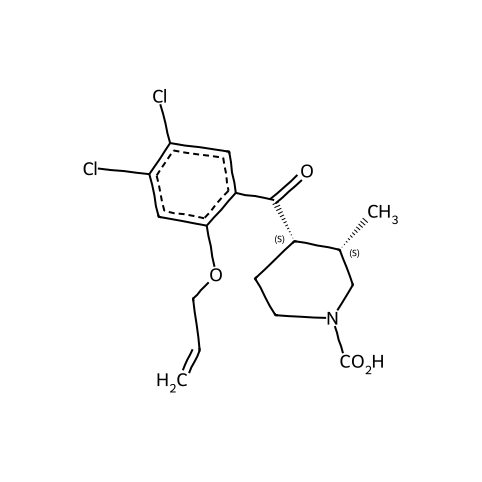 C=CCOc1cc(Cl)c(Cl)cc1C(=O)[C@H]1CCN(C(=O)O)C[C@H]1C